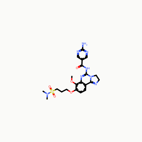 COc1c(OCCCS(=O)(=O)N(C)C)ccc2c1N=C(NC(=O)c1cnc(N)nc1)N1CCN=C21